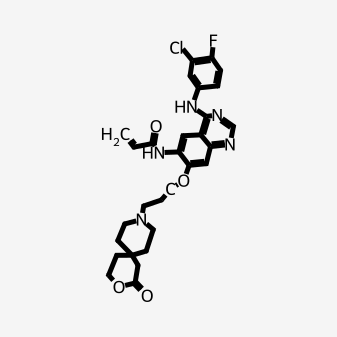 C=CC(=O)Nc1cc2c(Nc3ccc(F)c(Cl)c3)ncnc2cc1OCCCN1CCC2(CCOC(=O)C2)CC1